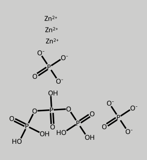 O=P(O)(O)OP(=O)(O)OP(=O)(O)O.O=P([O-])([O-])[O-].O=P([O-])([O-])[O-].[Zn+2].[Zn+2].[Zn+2]